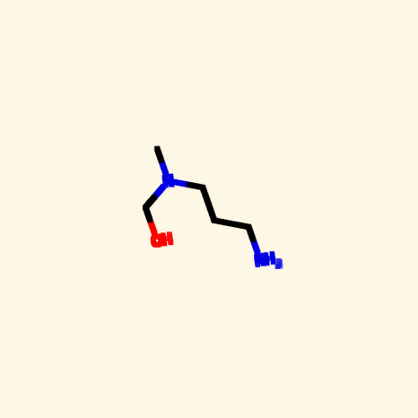 CN(CO)CCCN